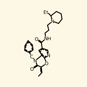 CC=C1Oc2ncc(C(=O)NCCCN3CCCCC3CC)cc2N(Cc2ccccc2)C1=O